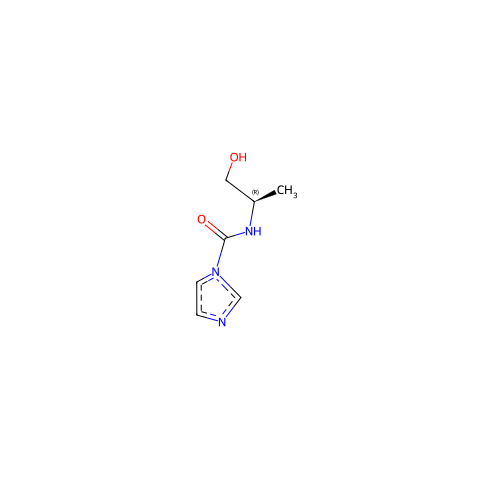 C[C@H](CO)NC(=O)n1ccnc1